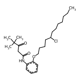 CCCCCCCC(Cl)CCCCOc1ccccc1NC(=O)CC(=O)C(C)(C)C